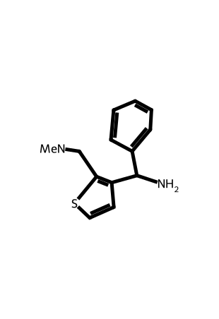 CNCc1sccc1C(N)c1ccccc1